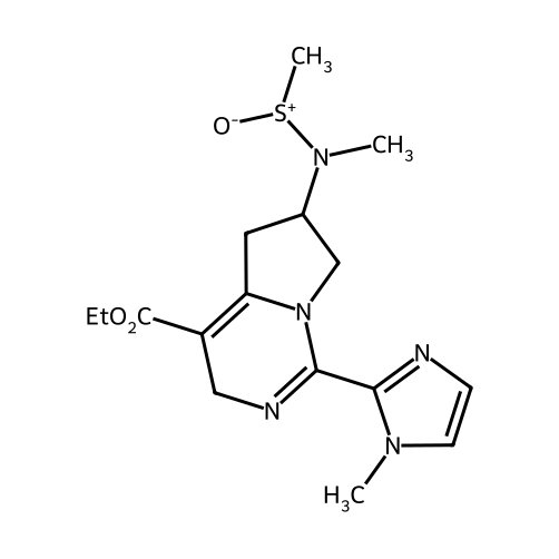 CCOC(=O)C1=C2CC(N(C)[S+](C)[O-])CN2C(c2nccn2C)=NC1